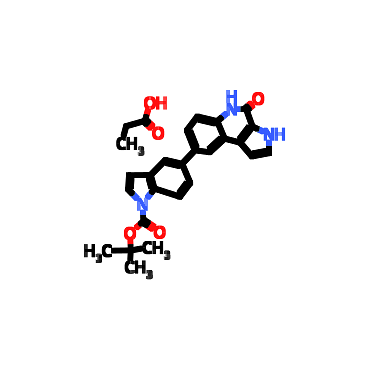 CC(C)(C)OC(=O)n1ccc2cc(-c3ccc4[nH]c(=O)c5[nH]ccc5c4c3)ccc21.CCC(=O)O